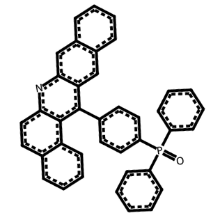 O=P(c1ccccc1)(c1ccccc1)c1ccc(-c2c3cc4ccccc4cc3nc3ccc4ccccc4c23)cc1